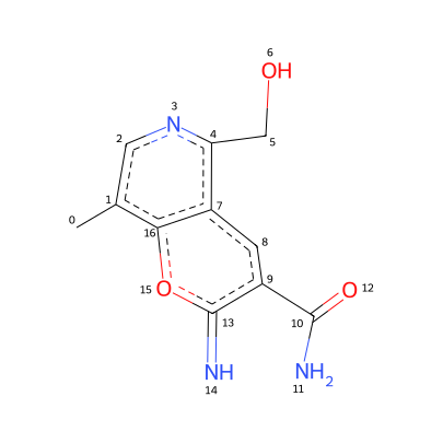 Cc1cnc(CO)c2cc(C(N)=O)c(=N)oc12